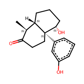 C[C@@H]1C(=O)CC[C@]2(c3cccc(O)c3)[C@@H](O)CCC[C@@H]12